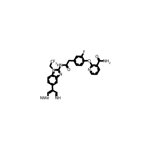 CN/C=C(\C=N)c1ccc2c(c1)nc(NC(=O)Cc1ccc(Oc3ncccc3C(N)=O)c(F)c1)n2CC(F)(F)F